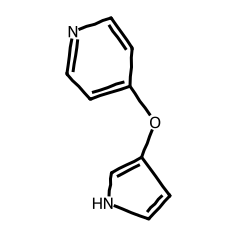 c1cc(Oc2cc[nH]c2)ccn1